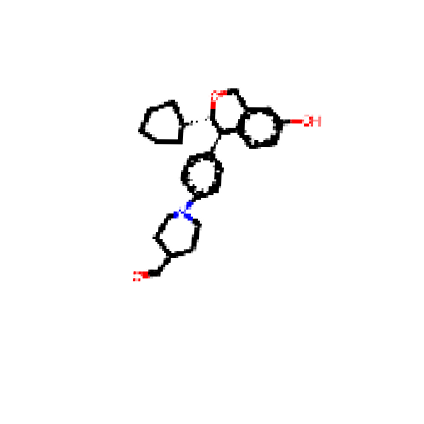 O=CC1CCN(c2ccc([C@@H]3c4ccc(O)cc4CO[C@H]3C3CCCCC3)cc2)CC1